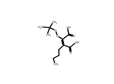 CCCCC(C(=O)O)=C(OOC(C)(C)C)C(=O)O